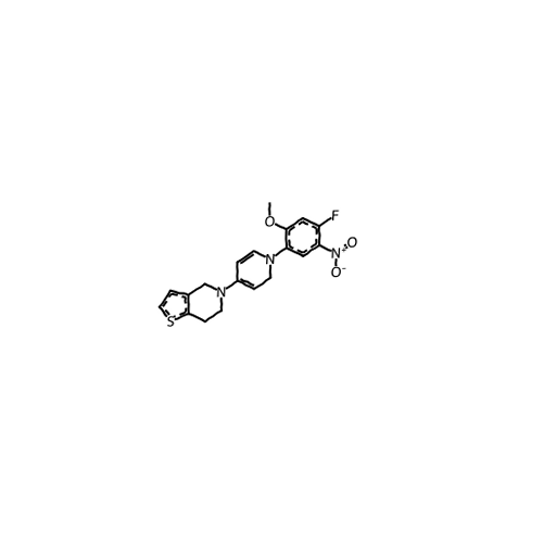 COc1cc(F)c([N+](=O)[O-])cc1N1C=CC(N2CCc3sccc3C2)=CC1